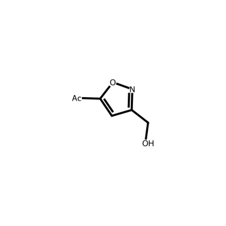 CC(=O)c1cc(CO)no1